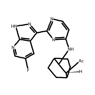 CC(=O)[C@H]1C2CCC(CC2)C1Nc1ccnc(-c2n[nH]c3ncc(F)cc23)n1